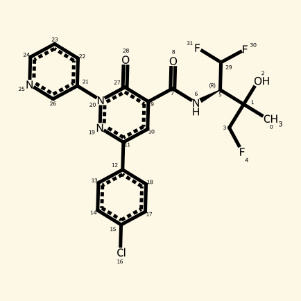 CC(O)(CF)[C@@H](NC(=O)c1cc(-c2ccc(Cl)cc2)nn(-c2cccnc2)c1=O)C(F)F